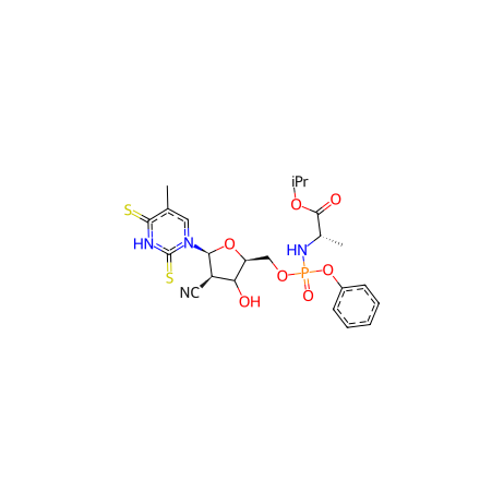 Cc1cn([C@H]2O[C@@H](COP(=O)(N[C@@H](C)C(=O)OC(C)C)Oc3ccccc3)C(O)[C@H]2C#N)c(=S)[nH]c1=S